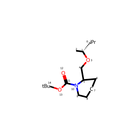 CC(C)[C@@H](C)OCC1CCCCN1C(=O)OC(C)(C)C